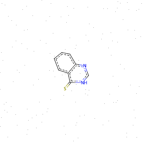 S=c1[nH]cnc2ccccc12